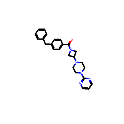 O=C(c1ccc(Cc2ccccc2)cc1)N1CC(N2CCN(c3ncccn3)CC2)C1